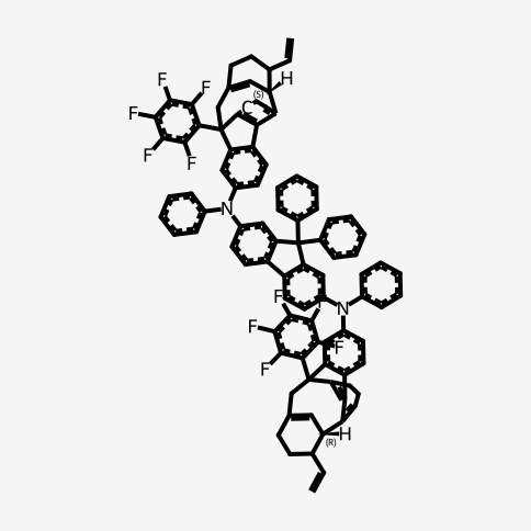 C=CC1CCC2=C[C@@H]1C1=CCCC3=C1c1ccc(N(c4ccccc4)c4ccc5c(c4)C(c4ccccc4)(c4ccccc4)c4cc(N(c6ccccc6)c6ccc7c(c6)C6(c8c(F)c(F)c(F)c(F)c8F)CC8=C[C@@H](C9=CCCC6=C97)C(C=C)CC8)ccc4-5)cc1C3(c1c(F)c(F)c(F)c(F)c1F)C2